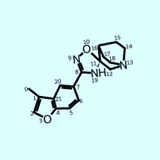 Cc1coc2ccc(C3=NO[C@@]4(CN5CCC4CC5)N3)cc12